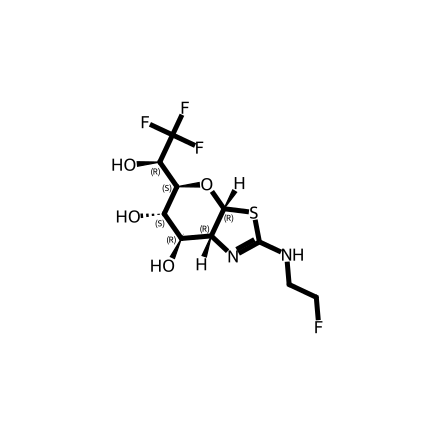 O[C@H]1[C@H](O)[C@@H]([C@@H](O)C(F)(F)F)O[C@@H]2SC(NCCF)=N[C@H]12